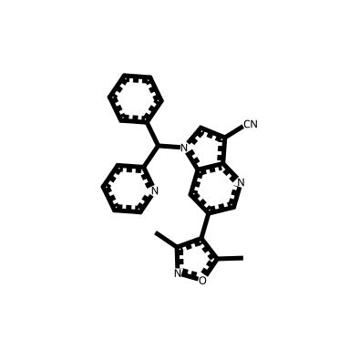 Cc1noc(C)c1-c1cnc2c(C#N)cn(C(c3ccccc3)c3ccccn3)c2c1